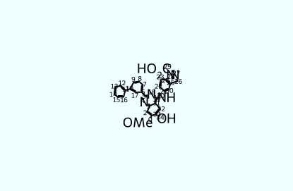 COc1cc2nc(-c3cccc(-c4ccccc4)c3)nc(Nc3ccc4c(cnn4C(=O)O)c3)c2cc1O